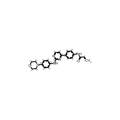 C=CC(=O)Nc1ccc(-c2ccnc(Nc3ccc(N4CCOCC4)cc3)n2)cc1